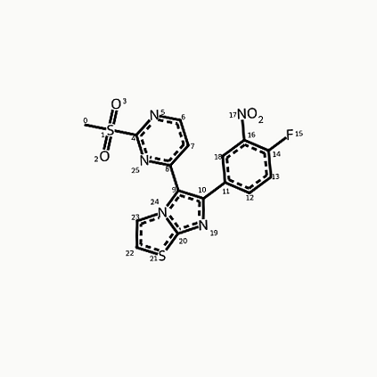 CS(=O)(=O)c1nccc(-c2c(-c3ccc(F)c([N+](=O)[O-])c3)nc3sccn23)n1